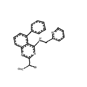 O=CC(Br)c1nc(NCc2ccccn2)c2c(-c3ccccc3)cccc2n1